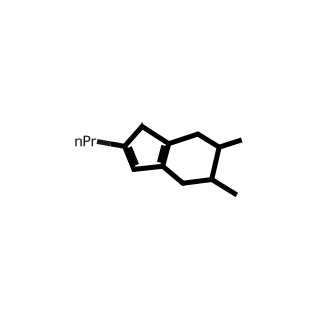 CCCC1=CC2=C([CH]1)CC(C)C(C)C2